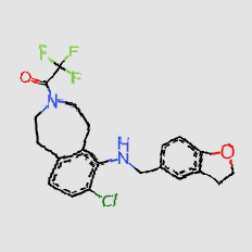 O=C(N1CCc2ccc(Cl)c(NCc3ccc4c(c3)CCO4)c2CC1)C(F)(F)F